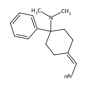 CCCC=C1CCC(c2ccccc2)(N(C)C)CC1